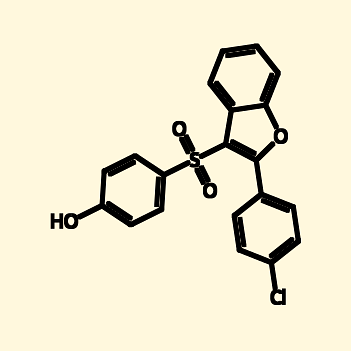 O=S(=O)(c1ccc(O)cc1)c1c(-c2ccc(Cl)cc2)oc2ccccc12